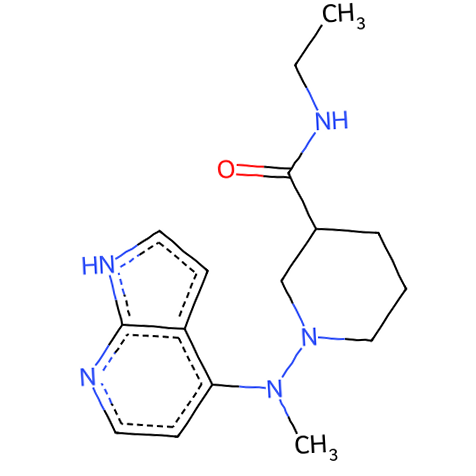 CCNC(=O)C1CCCN(N(C)c2ccnc3[nH]ccc23)C1